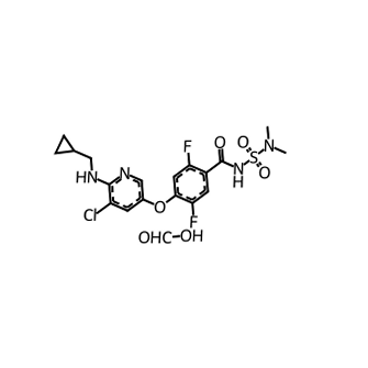 CN(C)S(=O)(=O)NC(=O)c1cc(F)c(Oc2cnc(NCC3CC3)c(Cl)c2)cc1F.O=CO